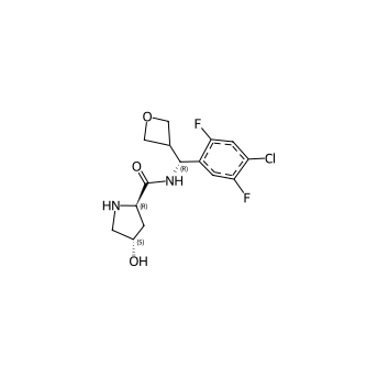 O=C(N[C@@H](c1cc(F)c(Cl)cc1F)C1COC1)[C@H]1C[C@H](O)CN1